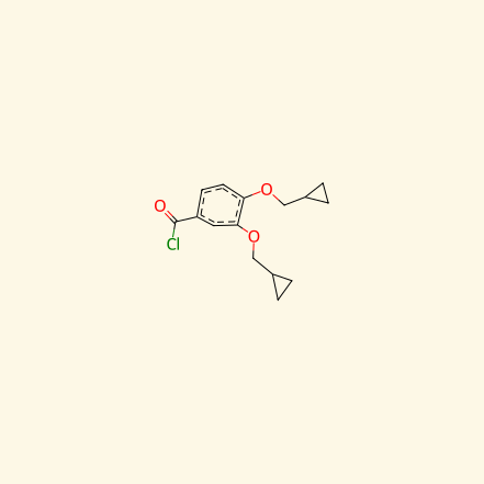 O=C(Cl)c1ccc(OCC2CC2)c(OCC2CC2)c1